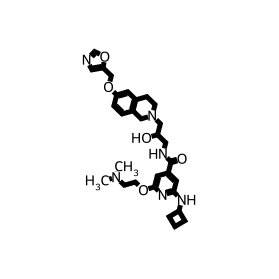 CN(C)CCOc1cc(C(=O)NCC(O)CN2CCc3cc(OCc4cnco4)ccc3C2)cc(NC2CCC2)n1